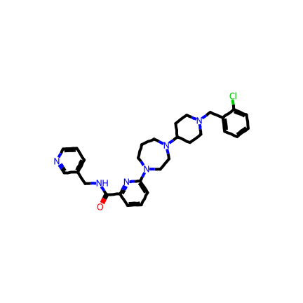 O=C(NCc1cccnc1)c1cccc(N2CCCN(C3CCN(Cc4ccccc4Cl)CC3)CC2)n1